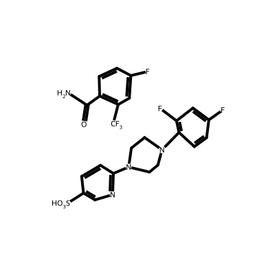 NC(=O)c1ccc(F)cc1C(F)(F)F.O=S(=O)(O)c1ccc(N2CCN(c3ccc(F)cc3F)CC2)nc1